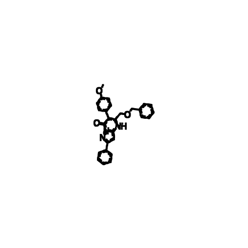 COc1ccc(-c2c(COCc3ccccc3)[nH]c3cc(-c4ccccc4)nn3c2=O)cc1